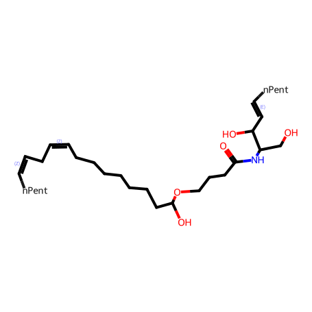 CCCCC/C=C\C/C=C\CCCCCCCC(O)OCCCC(=O)NC(CO)C(O)/C=C/CCCCC